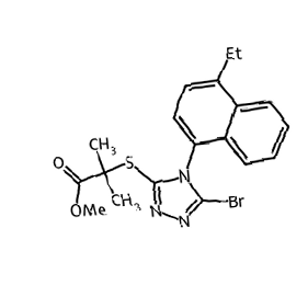 CCc1ccc(-n2c(Br)nnc2SC(C)(C)C(=O)OC)c2ccccc12